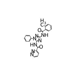 Cc1ccccc1C(=O)Nc1nc(NC(=O)c2cccnn2)n(-c2ccccc2)n1